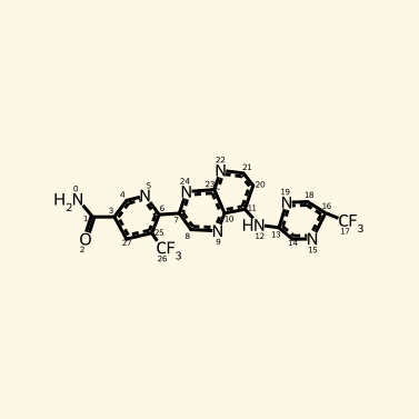 NC(=O)c1cnc(-c2cnc3c(Nc4cnc(C(F)(F)F)cn4)ccnc3n2)c(C(F)(F)F)c1